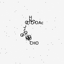 CC(=O)O[C@@H](C)/C=C\C(=O)N[C@@H]1C[C@H](C)[C@H](C/C=C(C)/C=C/[C@@H]2C[C@]3(CO3)C[C@@H](CC(=O)ON(C)C(=O)CCC=O)O2)O[C@@H]1C